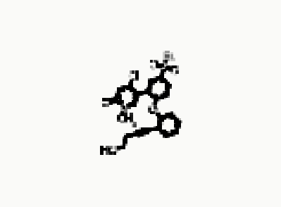 CCS(=O)(=O)c1ccc(Oc2ccccc2C#CCCO)c(-c2cn(C)c(=O)cc2Cl)c1